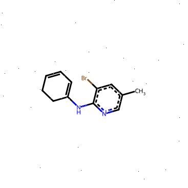 Cc1cnc(NC2=CC=CCC2)c(Br)c1